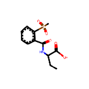 CCC(NC(=O)c1ccccc1S(C)(=O)=O)C(=O)O